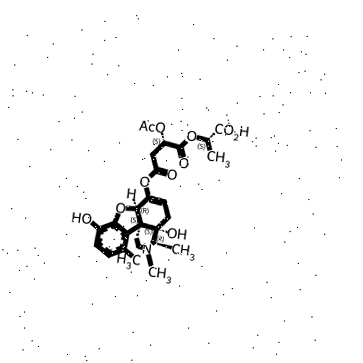 CC(=O)O[C@@H](CC(=O)OC1=CC[C@@]2(O)[C@@H](C)N(C)CC[C@@]23c2c(C)ccc(O)c2O[C@@H]13)C(=O)O[C@@H](C)C(=O)O